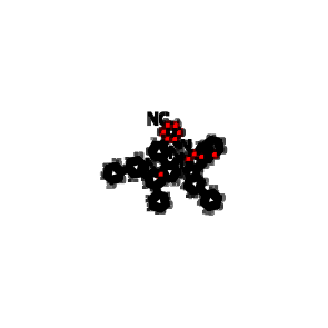 N#Cc1cccc(-c2ccc(-n3c4ccc(-c5ccccc5)cc4c4cc(-c5ccccc5)ccc43)c(-c3cccc(-n4c5ccc(-c6ccccc6)cc5c5cc(-c6ccccc6)ccc54)c3-c3nc(-c4ccccc4)nc(-c4ccccc4)n3)c2)c1